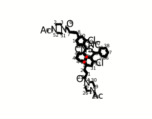 CC(=O)N1CCN(C(=O)/C=C/c2ccc(C(SC(c3ccc(/C=C/C(=O)N4CCN(C(C)=O)CC4)cc3Cl)c3ccccc3C#N)c3ccccc3C#N)c(Cl)c2)CC1